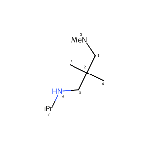 CNCC(C)(C)CNC(C)C